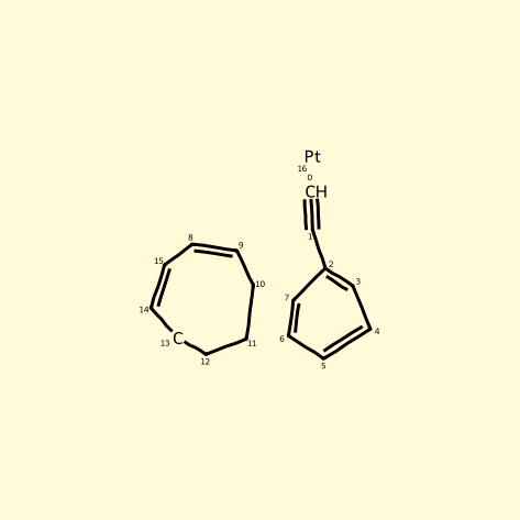 C#Cc1ccccc1.C1=CCCCCC=C1.[Pt]